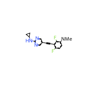 CNc1ccc(F)c(C#Cc2cnc(NC3CC3)nc2)c1F